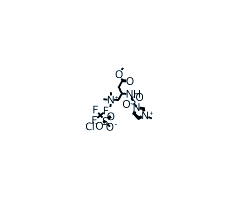 COC(=O)CC(C[N+](C)(C)C)NS(=O)(=O)n1cc[n+](C)c1.O=S(=O)([O-])C(F)(F)F.[Cl-]